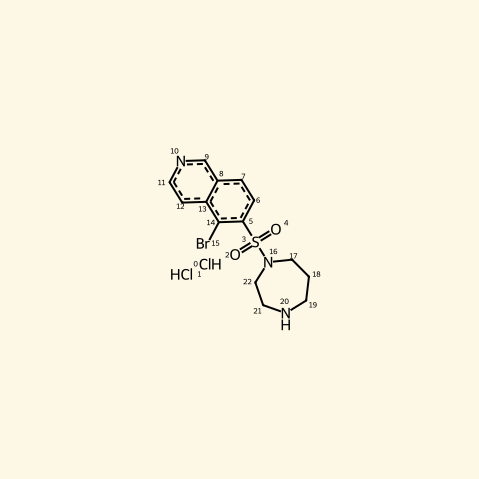 Cl.Cl.O=S(=O)(c1ccc2cnccc2c1Br)N1CCCNCC1